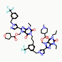 CCCn1c(=O)c2c(nc(-c3cnn(Cc4cc(CCCn5c(=O)c6c(nc(-c7cnn(Cc8cccc(C(F)(F)F)c8)c7)n6COC(=O)C6CCOCC6)n(CC)c5=O)cc(C(F)(F)F)c4)c3)n2COC(=O)C2CCN(C)CC2)n(CC)c1=O